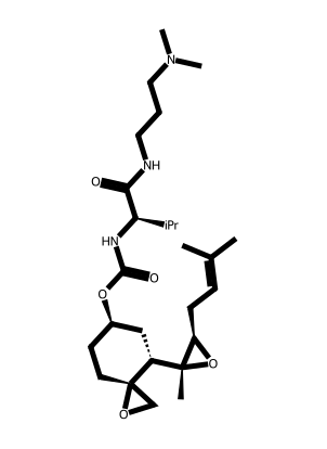 CC(C)=CC[C@H]1O[C@]1(C)[C@H]1C[C@H](OC(=O)N[C@@H](C(=O)NCCCN(C)C)C(C)C)CC[C@]12CO2